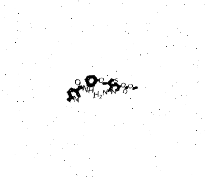 CCOC(=O)Oc1cnc(N)c2c(COc3cccc(NC(=O)c4ccc(C)nc4)c3)csc12